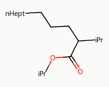 CCCCCCCCCCC(C(=O)OC(C)C)C(C)C